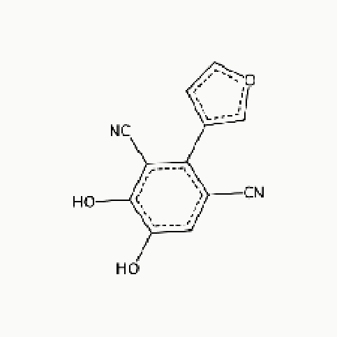 N#Cc1cc(O)c(O)c(C#N)c1-c1ccoc1